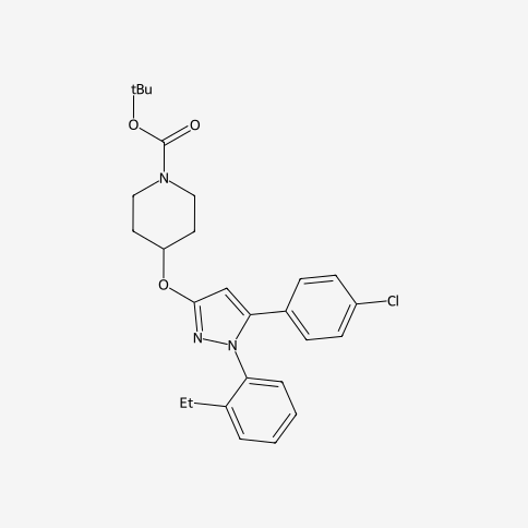 CCc1ccccc1-n1nc(OC2CCN(C(=O)OC(C)(C)C)CC2)cc1-c1ccc(Cl)cc1